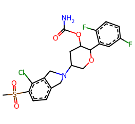 CS(=O)(=O)c1ccc2c(c1Cl)CN(C1COC(c3cc(F)ccc3F)C(OC(N)=O)C1)C2